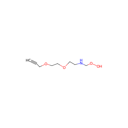 C#CCOCCOCCNCOO